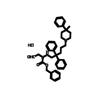 CC1(c2ccccc2)CCN(CCCC(CNN(CC=O)C(=O)OCc2ccccc2)(c2ccccc2)c2ccccc2)CC1.Cl